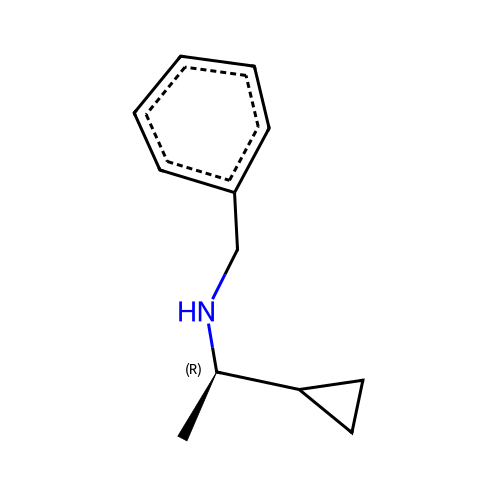 C[C@@H](NCc1ccccc1)C1CC1